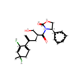 C=C(C[C@@H](CO)C(=O)N1C(=O)OC[C@H]1c1ccccc1)C1=CCC(C)(F)C=C1F